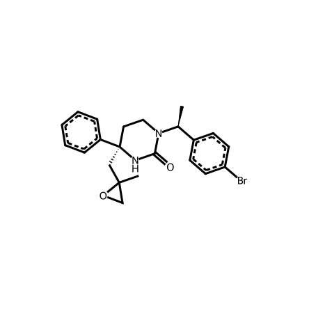 C[C@@H](c1ccc(Br)cc1)N1CC[C@](CC2(C)CO2)(c2ccccc2)NC1=O